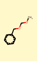 COCOCc1cc[c]cc1